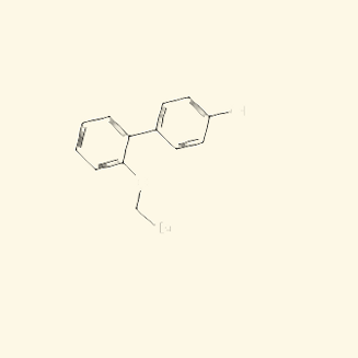 CCC(C)COc1ccccc1-c1ccc(O)cc1